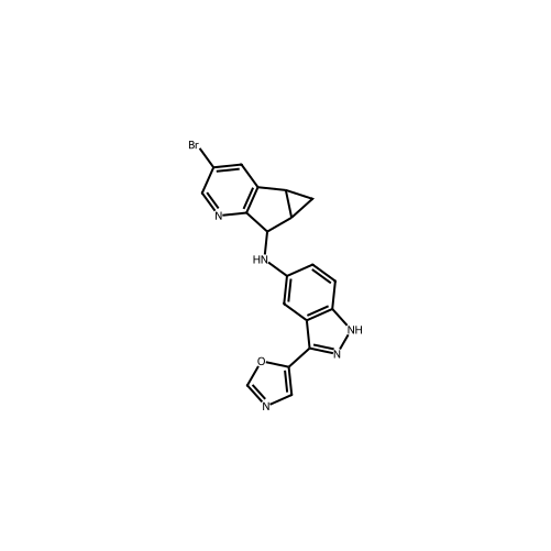 Brc1cnc2c(c1)C1CC1C2Nc1ccc2[nH]nc(-c3cnco3)c2c1